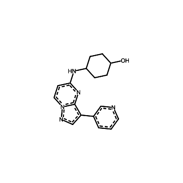 OC1CCC(Nc2ccn3ncc(-c4cccnc4)c3n2)CC1